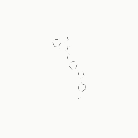 Cc1cccc(C)c1N1C(=O)CS/C1=N\N=C\c1ccc(-c2ncn(-c3ccc(OC(F)(F)F)cc3)n2)cc1